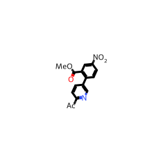 COC(=O)c1cc([N+](=O)[O-])ccc1-c1ccc(C(C)=O)nc1